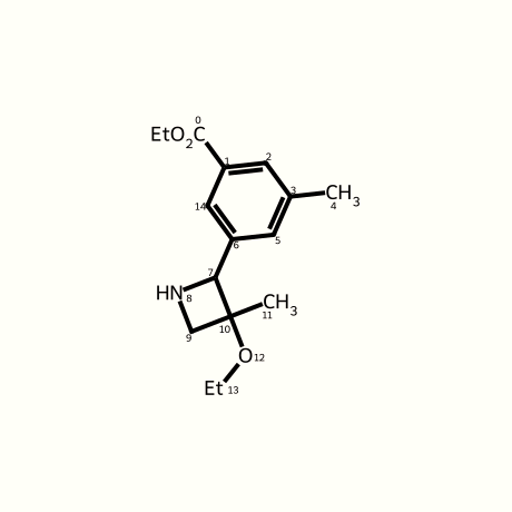 CCOC(=O)c1cc(C)cc(C2NCC2(C)OCC)c1